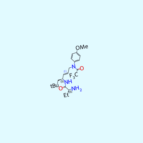 CC[C@H](N)C(=O)N[C@H](/C=C/CN(C(=O)C(F)(F)F)c1ccc(OC)cc1)CC(C)(C)C